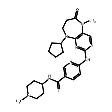 CN1CCC(NC(=O)c2ccc(Nc3ncc4c(n3)N(C3CCCC3)CCC(=O)N4C)nc2)CC1